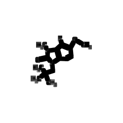 COc1ccc2c(c1F)n(C)c(=O)n2CC(C)(C)C